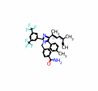 C#C/C(C)=C\C=C(/C)c1nc(-c2cc(C(F)(F)F)cc(C(F)(F)F)c2)n(Cc2ccc(C(N)=O)cc2)c1-c1ccc(C)cc1